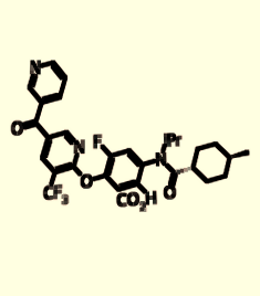 CC(C)N(c1cc(F)c(Oc2ncc(C(=O)c3cccnc3)cc2C(F)(F)F)cc1C(=O)O)C(=O)[C@H]1CC[C@H](C)CC1